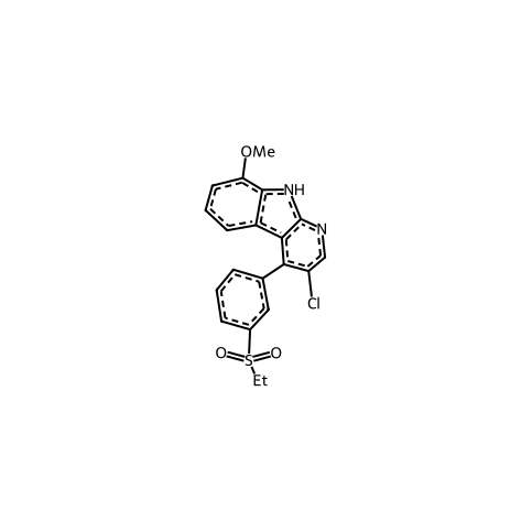 CCS(=O)(=O)c1cccc(-c2c(Cl)cnc3[nH]c4c(OC)cccc4c23)c1